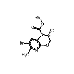 CC[C@H]1COc2nc(C)c(Br)cc2N1C(=O)OC(C)(C)C